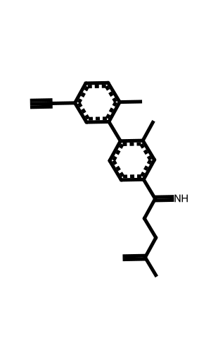 C#Cc1ccc(C)c(-c2ccc(C(=N)CCC(=C)C)cc2C)c1